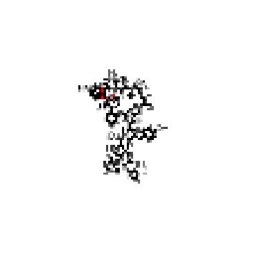 CC[C@H](C)[C@H](NC(=O)[C@H](Cc1ccc(O)cc1)NC(=O)[C@H](CC(C)C)NC(=O)CNC(=O)[C@H](C)NC(=O)[C@@H](NC(=O)[C@H](CC(N)=O)NC(=O)[C@H](Cc1ccc(O)cc1)NC(=O)[C@@H](NC(=O)[C@@H](N)Cc1ccc(O)cc1)[C@@H](C)CC)C(C)C)C(=O)N[C@@H](Cc1c[nH]cn1)C(=O)N[C@@H](Cc1c[nH]cn1)C(N)=O